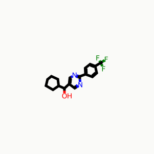 OC(c1cnc(-c2ccc(C(F)(F)F)cc2)nc1)C1CCCCC1